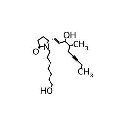 CCC#CC[C@H](C)[C@H](O)/C=C/[C@H]1CCC(=O)N1CCCCCCCO